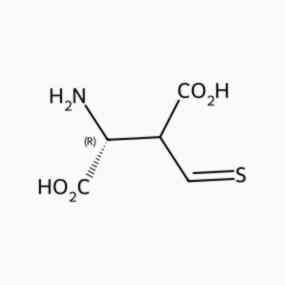 N[C@@H](C(=O)O)C(C=S)C(=O)O